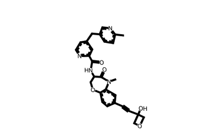 Cc1ccc(Cc2ccnc(C(=O)NC3COc4ccc(C#CC5(O)COC5)cc4N(C)C3=O)c2)cn1